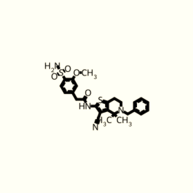 COc1cc(CC(=O)Nc2sc3c(c2C#N)C(C)(C)N(Cc2ccccc2)CC3)ccc1S(N)(=O)=O